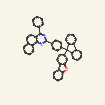 c1ccc(-c2nc(-c3ccc(C4(c5ccc6c(c5)oc5ccccc56)c5ccccc5-c5ccccc54)cc3)nc3c2ccc2ccccc23)cc1